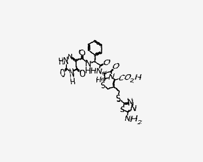 Nc1nnc(SCC2=C(C(=O)O)N3C(=O)[C@@H](NC(=O)C(NC(=O)c4n[nH]c(=O)[nH]c4=O)c4ccccc4)[C@@H]3SC2)s1